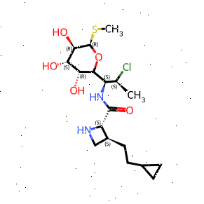 CS[C@H]1OC([C@H](NC(=O)[C@H]2NC[C@@H]2CCC2CC2)[C@H](C)Cl)[C@H](O)[C@H](O)[C@H]1O